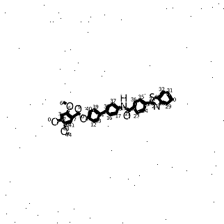 COc1cc(OC)c(C(=O)Oc2ccc(-c3ccc(NC(=O)c4ccc(-c5nc6ccccc6s5)cc4)cc3)cc2)cc1OC